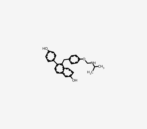 CC(C)NCOc1ccc(Cc2c(-c3ccc(O)cc3)ccc3cc(O)ccc23)cc1